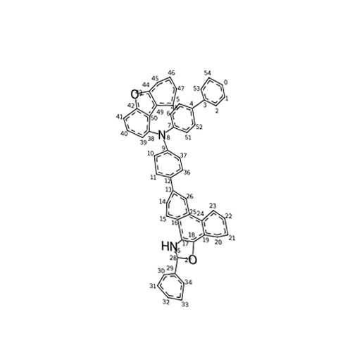 c1ccc(-c2ccc(N(c3ccc(-c4ccc5c6c(c7ccccc7c5c4)OC(c4ccccc4)N6)cc3)c3cccc4oc5ccccc5c34)cc2)cc1